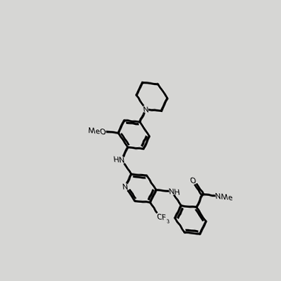 CNC(=O)c1ccccc1Nc1cc(Nc2ccc(N3CCCCC3)cc2OC)ncc1C(F)(F)F